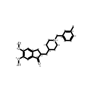 CCOc1cc2c(cc1OCC)C(=O)C(CC1CCN(Cc3cccc(C)c3)CC1)C2